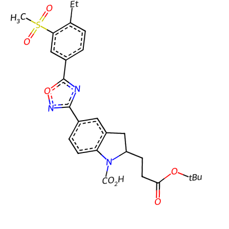 CCc1ccc(-c2nc(-c3ccc4c(c3)CC(CCC(=O)OC(C)(C)C)N4C(=O)O)no2)cc1S(C)(=O)=O